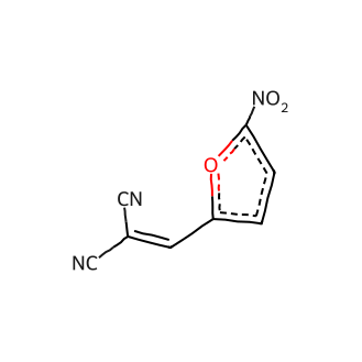 N#CC(C#N)=Cc1ccc([N+](=O)[O-])o1